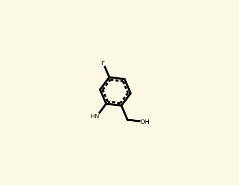 [NH]c1cc(F)ccc1CO